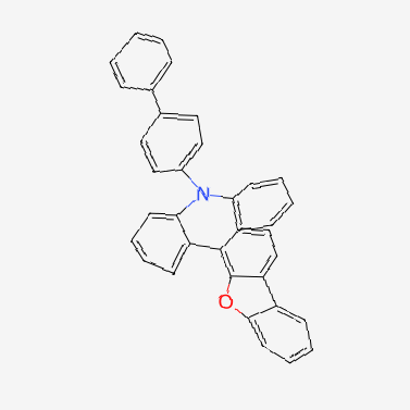 c1ccc(-c2ccc(N(c3ccccc3)c3ccccc3-c3cccc4c3oc3ccccc34)cc2)cc1